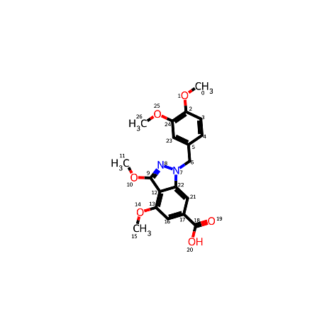 COc1ccc(Cn2nc(OC)c3c(OC)cc(C(=O)O)cc32)cc1OC